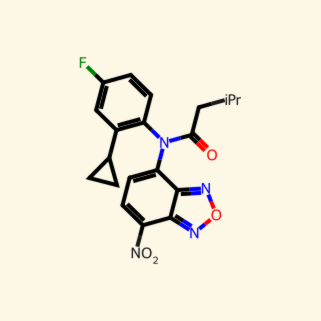 CC(C)CC(=O)N(c1ccc(F)cc1C1CC1)c1ccc([N+](=O)[O-])c2nonc12